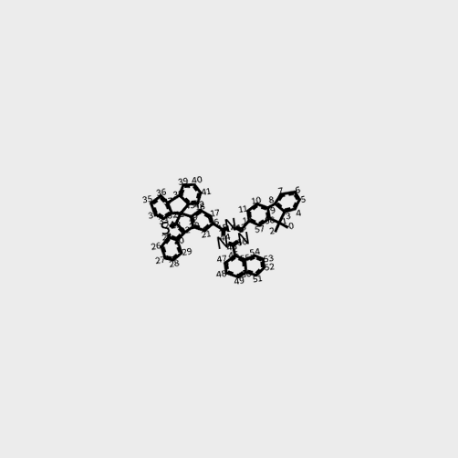 CC1(C)c2ccccc2-c2ccc(-c3nc(-c4ccc5c(c4)-c4c(sc6ccccc46)C54c5ccccc5-c5ccccc54)nc(-c4cccc5ccccc45)n3)cc21